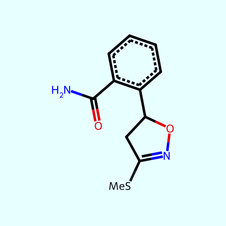 CSC1=NOC(c2ccccc2C(N)=O)C1